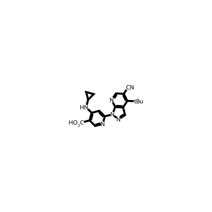 CC(C)(C)c1c(C#N)cnc2c1cnn2-c1cc(NC2CC2)c(C(=O)O)cn1